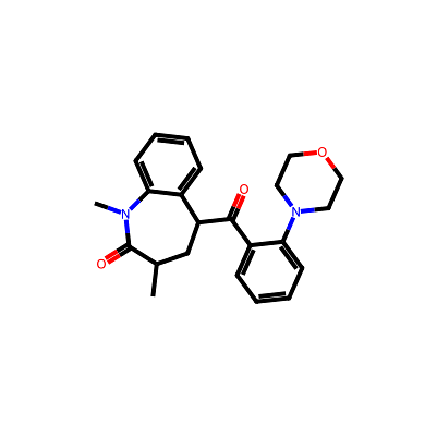 CC1CC(C(=O)c2ccccc2N2CCOCC2)c2ccccc2N(C)C1=O